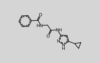 O=C(CNC(=O)c1ccccc1)Nc1cc(C2CC2)[nH]n1